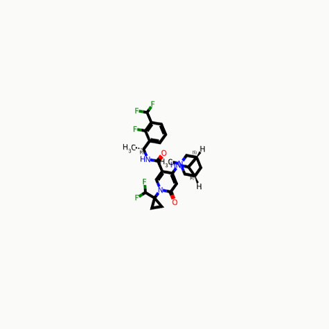 C[C@@H](NC(=O)c1cn(C2(C(F)F)CC2)c(=O)cc1NC1[C@@H]2C[C@H]1CN(C)C2)c1cccc(C(F)F)c1F